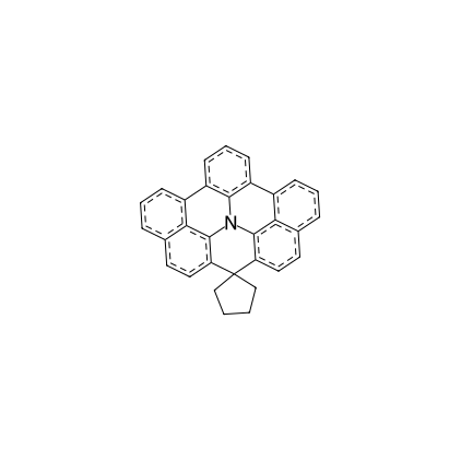 c1cc2c3c(c1)-c1cccc4ccc5c(c14)N3c1c(ccc3cccc-2c13)C51CCCC1